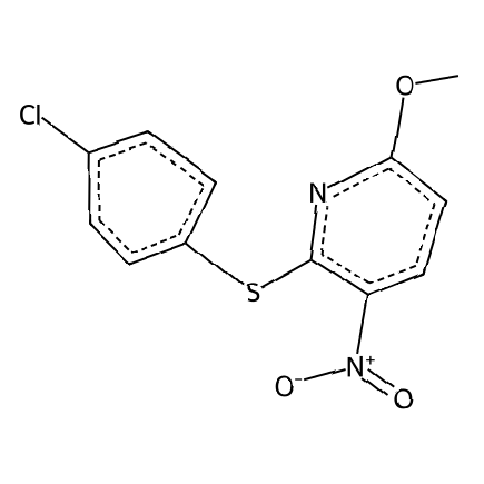 COc1ccc([N+](=O)[O-])c(Sc2ccc(Cl)cc2)n1